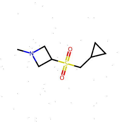 CN1CC(S(=O)(=O)CC2CC2)C1